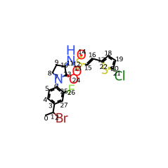 CC(Br)c1ccc(N2CCC(NS(=O)(=O)/C=C/c3ccc(Cl)s3)C2=O)c(F)c1